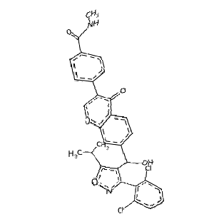 CNC(=O)c1ccc(-c2coc3cc(C(O)c4c(-c5c(Cl)cccc5Cl)noc4C(C)C)ccc3c2=O)cc1